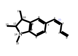 C=C/C=C\c1ccc2c(c1)C(C)C(C)N2C